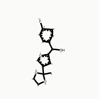 CC1(c2coc(C(O)c3ccc(F)cc3)c2)OCCO1